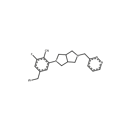 CC(C)Cc1cc(F)c(C#N)c(N2CC3CN(Cc4cccnn4)CC3C2)c1